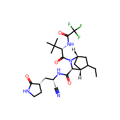 CCC1C[C@@H]2C[C@H]1[C@@H](C(=O)N[C@H](C#N)C[C@@H]1CCNC1=O)N2C(=O)[C@@H](NC(=O)C(F)(F)F)C(C)(C)C